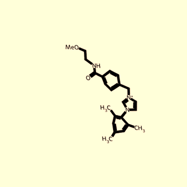 COCCNC(=O)c1ccc(C[n+]2ccn(-c3c(C)cc(C)cc3C)c2)cc1